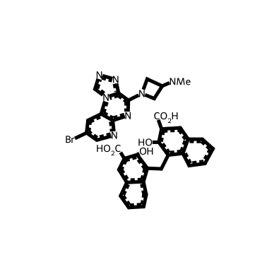 CNC1CN(c2nc3ncc(Br)cc3n3cnnc23)C1.O=C(O)c1cc2ccccc2c(Cc2c(O)c(C(=O)O)cc3ccccc23)c1O